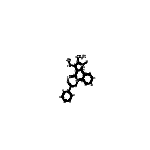 CCOC(=O)c1c(OCC)c2c(=O)n(CC(=O)c3ccccc3)c3ccccc3c2n1C